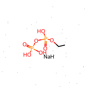 CCOP(=O)(O)OP(=O)(O)O.[NaH]